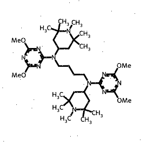 COc1nc(OC)nc(N(CCCCN(c2nc(OC)nc(OC)n2)C2CC(C)(C)N(C)C(C)(C)C2)C2CC(C)(C)N(C)C(C)(C)C2)n1